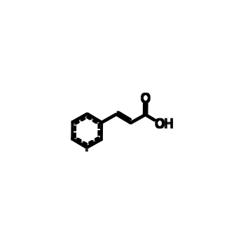 O=C(O)C=Cc1c[c]ccc1